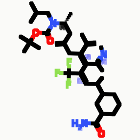 C=C(C/C(C(=C)C)=C(C(/C)=N\C)\C(=C/C(C)C1CCCC(C(N)=O)C1)C(F)(F)F)C[C@@H](C)N(CC(C)C)C(=O)OC(C)(C)C